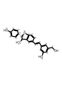 CC1c2cc(/C=C/c3cc(O)cc(CO)c3)ccc2O[C@H]1c1ccc(O)cc1